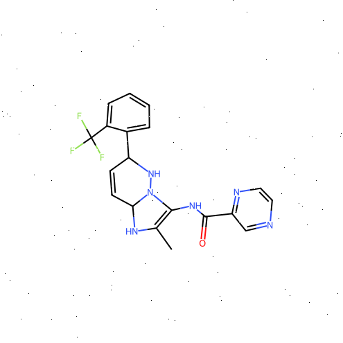 CC1=C(NC(=O)c2cnccn2)N2NC(c3ccccc3C(F)(F)F)C=CC2N1